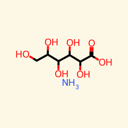 N.O=C(O)C(O)C(O)C(O)C(O)CO